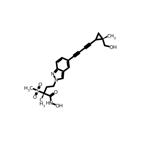 C[C@]1(CO)CC1C#CC#Cc1ccc2nn(CC[C@](C)(C(=O)NO)S(C)(=O)=O)cc2c1